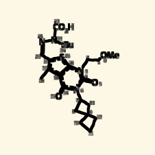 COCCn1c(=O)n(C2CC3(CCC3)C2)c(=O)c2c(C)c(/C=N\N(C(=O)O)C(C)(C)C)sc21